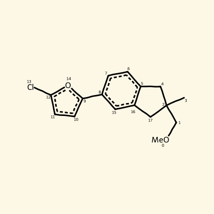 COCC1(C)Cc2ccc(-c3ccc(Cl)o3)cc2C1